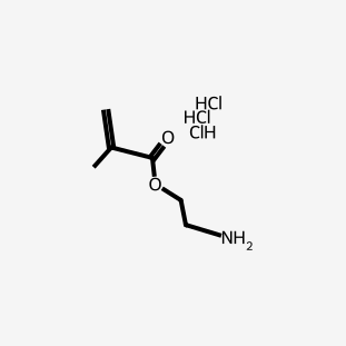 C=C(C)C(=O)OCCN.Cl.Cl.Cl